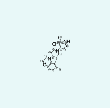 Cc1ccc2c(c1)N(C1CCN(c3cn[nH]c(=O)c3Cl)CC1)CCO2